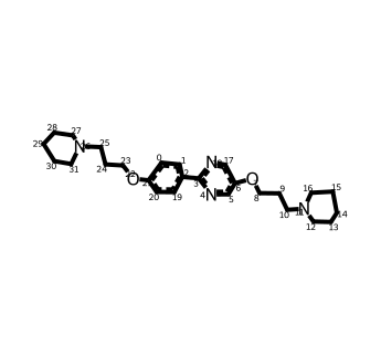 c1cc(-c2ncc(OCCCN3CCCCC3)cn2)ccc1OCCCN1CCCCC1